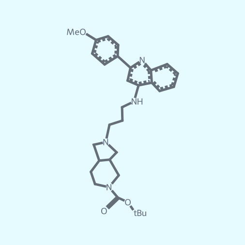 COc1ccc(-c2cc(NCCCN3CC4CCN(C(=O)OC(C)(C)C)CC4C3)c3ccccc3n2)cc1